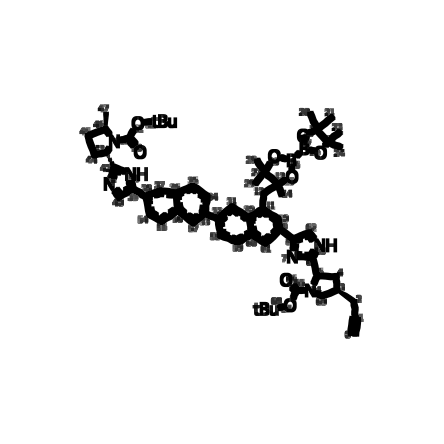 C#CC[C@@H]1CC(c2nc(-c3cc(CC4(C)OB(B5OC(C)(C)C(C)(C)O5)OC4(C)C)c4cc(-c5ccc6cc(-c7cnc([C@@H]8CC[C@@H](C)N8C(=O)OC(C)(C)C)[nH]7)ccc6c5)ccc4c3)c[nH]2)N(C(=O)OC(C)(C)C)C1